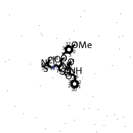 COc1ccc(COC(=O)C2=C(/C=C/c3scnc3Cl)CS[C@@H]3C(NC(=O)Cc4ccccc4)C(=O)N23)cc1